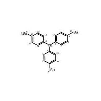 CCC(C)c1ccc(N(c2ccc(C(C)CC)cc2)c2ccc(C(C)(C)C)cc2)cc1